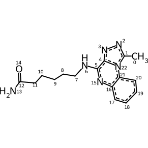 Cc1nnc2c(NCCCCCC(N)=O)nc3ccccc3n12